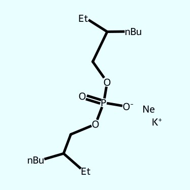 CCCCC(CC)COP(=O)([O-])OCC(CC)CCCC.[K+].[Ne]